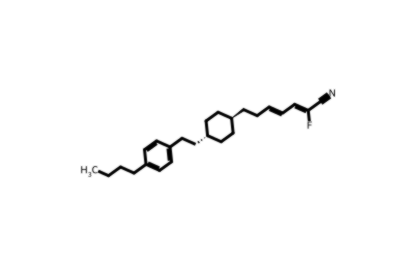 CCCCc1ccc(CC[C@H]2CC[C@H](CCC=CC=C(F)C#N)CC2)cc1